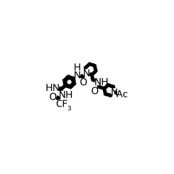 CC(=O)N1CCC(C(=O)NCC2CCCCN2C(=O)Nc2ccc(C(=N)NC(=O)C(F)(F)F)cc2)CC1